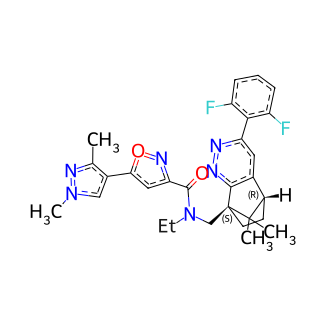 CCN(C[C@@]12CC[C@@H](c3cc(-c4c(F)cccc4F)nnc31)C2(C)C)C(=O)c1cc(-c2cn(C)nc2C)on1